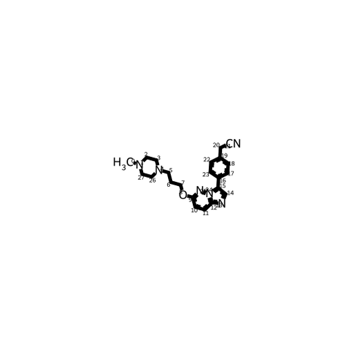 CN1CCN(CCCOc2ccc3ncc(-c4ccc(CC#N)cc4)n3n2)CC1